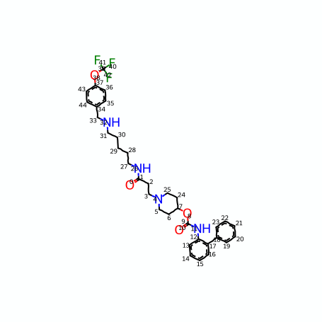 O=C(CCN1CCC(OC(=O)Nc2ccccc2-c2ccccc2)CC1)NCCCCCNCc1ccc(OC(F)(F)F)cc1